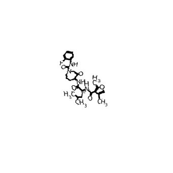 Cc1coc(C)c1C(=O)N[C@@H](CC(C)C)C(=O)NC1CCCN(C(=O)Nc2ccccc2F)CC1=O